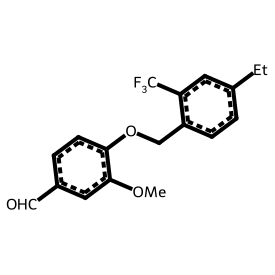 CCc1ccc(COc2ccc(C=O)cc2OC)c(C(F)(F)F)c1